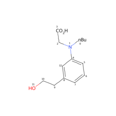 CCCCN(CC(=O)O)c1cccc(CCO)c1